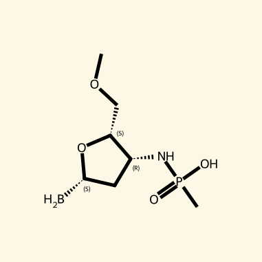 B[C@H]1C[C@@H](NP(C)(=O)O)[C@@H](COC)O1